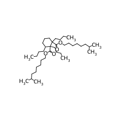 CCCCC1CCCC(CCCC)(C(=O)OCCCCCCC(C)C)C1(CCCC)C(=O)OCCCCCCC(C)C